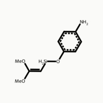 COC(=C[SiH2]Oc1ccc(N)cc1)OC